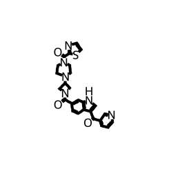 O=C(c1cccnc1)c1c[nH]c2cc(C(=O)N3CC(N4CCN(C(=O)c5nccs5)CC4)C3)ccc12